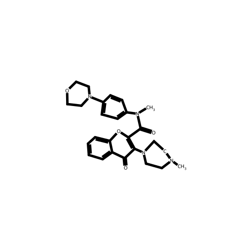 CN1CCN(c2c(C(=O)N(C)c3ccc(N4CCOCC4)cc3)oc3ccccc3c2=O)CC1